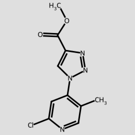 COC(=O)c1cn(-c2cc(Cl)ncc2C)nn1